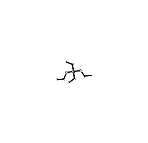 C[CH][Si](CC)(OCC)OCC